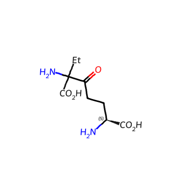 CCC(N)(C(=O)O)C(=O)CC[C@H](N)C(=O)O